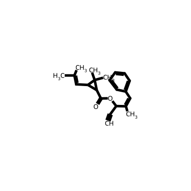 C#CC(OC(=O)C1C(C=C(C)C)C1(C)C)C(C)=Cc1ccccc1